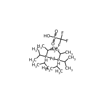 CC(C)[PH]([Pd][PH](C(C)C)(C(C)C)C(C)C)(C(C)C)C(C)C.O=S(=O)(O)C(F)(F)F